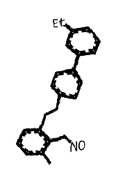 CCc1cccc(-c2ccc(CCc3cccc(C)c3CN=O)cc2)c1